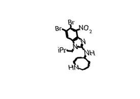 CC(C)Cn1c(NC2CCCNCC2)nc2c([N+](=O)[O-])c(Br)c(Br)cc21